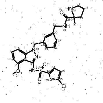 COc1cccc2c1c(NS(=O)(=O)c1ccc(Cl)s1)nn2Cc1cccc(CNC(=O)C2(C)CCCN2)c1